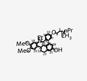 CCCN(C)CCOc1ccc(CN(CC)c2cc(OC)c(OC)cc2C2CCc3cc(O)ccc3C2)cc1